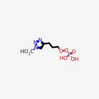 O=C(O)n1cc(CCCOOP(=O)(O)O)nn1